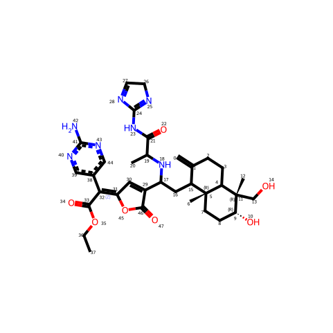 C=C1CCC2[C@](C)(CC[C@@H](O)[C@@]2(C)CO)C1CC(NC(C)C(=O)NC1=NCC=N1)C1=C/C(=C(/C(=O)OCC)c2cnc(N)nc2)OC1=O